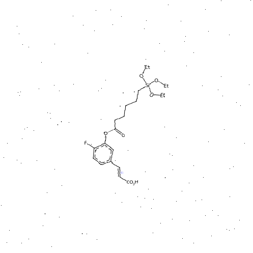 CCO[Si](CCCCCC(=O)Oc1cc(/C=C/C(=O)O)ccc1F)(OCC)OCC